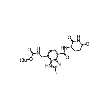 Cc1nc2c(C(=O)NC3CCC(=O)NC3=O)ccc(CNC(=O)OC(C)(C)C)c2[nH]1